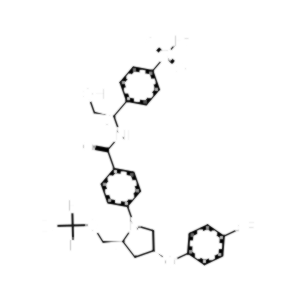 CCC(F)(F)OC[C@@H]1C[C@H](Oc2ccc(C(F)(F)F)cc2)CN1c1ccc(C(=O)N[C@@H](CO)c2ccc(S(=O)(=O)CC)cc2)cc1